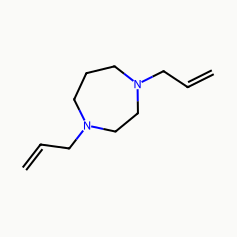 C=CCN1CCCN(CC=C)CC1